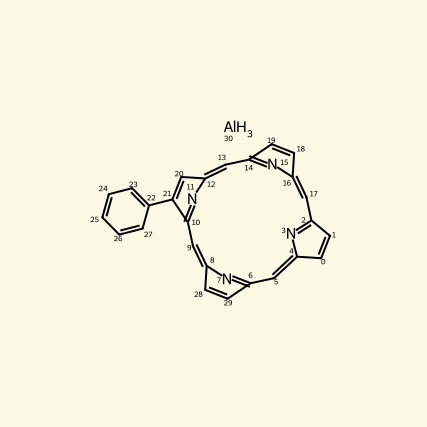 C1=CC2=NC1=CC1=NC(=CC3=NC(=CC4=NC(=C2)C=C4)C=C3c2ccccc2)C=C1.[AlH3]